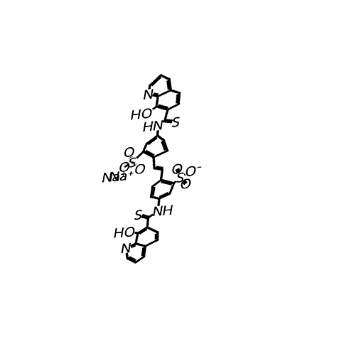 O=S(=O)([O-])c1cc(NC(=S)c2ccc3cccnc3c2O)ccc1C=Cc1ccc(NC(=S)c2ccc3cccnc3c2O)cc1S(=O)(=O)[O-].[Na+].[Na+]